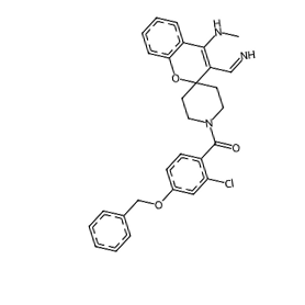 CNC1=C(C=N)C2(CCN(C(=O)c3ccc(OCc4ccccc4)cc3Cl)CC2)Oc2ccccc21